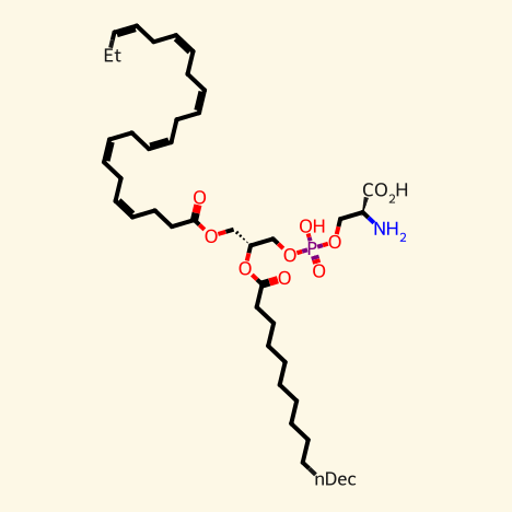 CC/C=C\C/C=C\C/C=C\C/C=C\C/C=C\C/C=C\CCC(=O)OC[C@H](COP(=O)(O)OC[C@H](N)C(=O)O)OC(=O)CCCCCCCCCCCCCCCCCCC